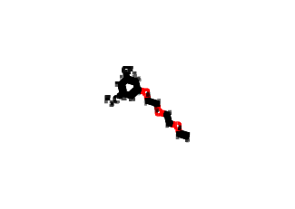 C=COCCOCCOc1cc(C(F)(F)F)cc(C(F)(F)F)c1